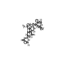 C=CC(=O)Nc1cc(Nc2nc(Br)cn(C)c2=O)ccc1N1CCN(C2C[C@@H](C)O[C@@H](C)C2)C[C@@H]1C